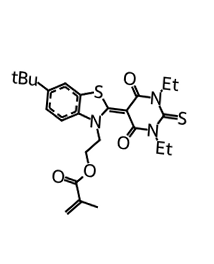 C=C(C)C(=O)OCCN1C(=C2C(=O)N(CC)C(=S)N(CC)C2=O)Sc2cc(C(C)(C)C)ccc21